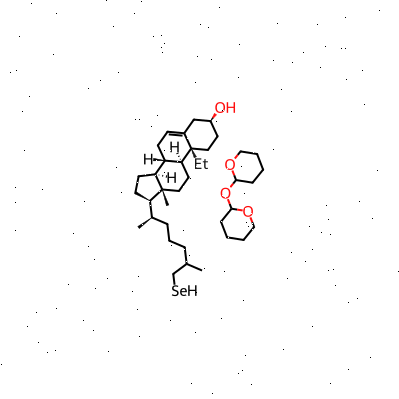 C1CCC(OC2CCCCO2)OC1.CC[C@]12CC[C@H](O)CC1=CC[C@@H]1[C@@H]2CC[C@]2(C)[C@@H]([C@H](C)CCCC(C)C[SeH])CC[C@@H]12